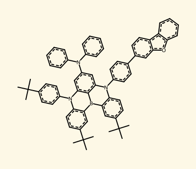 CC(C)(C)c1ccc(N2c3ccc(C(C)(C)C)cc3B3c4cc(C(C)(C)C)ccc4N(c4ccc(-c5ccc6c(c5)oc5ccccc56)cc4)c4cc(N(c5ccccc5)c5ccccc5)cc2c43)cc1